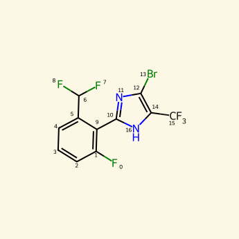 Fc1cccc(C(F)F)c1-c1nc(Br)c(C(F)(F)F)[nH]1